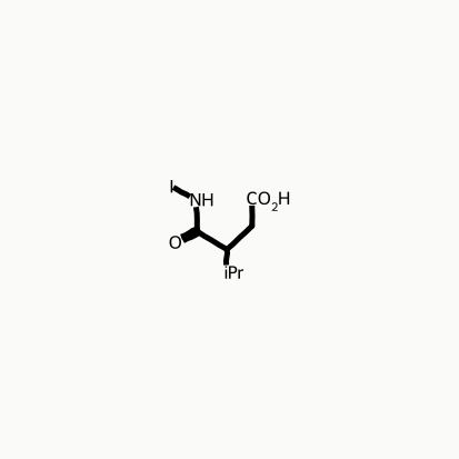 CC(C)C(CC(=O)O)C(=O)NI